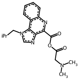 CC(C)Cn1cnc2c(C(=O)OC(=O)CN(C)C)nc3ccccc3c21